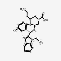 CCCC1CN(C(=O)O)CC(OCc2nc3ccccc3n2CC)C1c1ccc(Cl)cc1